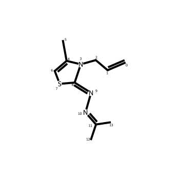 C=CCn1c(C)csc1=NN=C(C)C